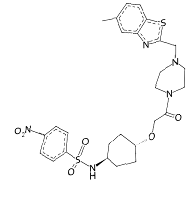 Cc1ccc2sc(CN3CCN(C(=O)CO[C@H]4CC[C@H](NS(=O)(=O)c5ccc([N+](=O)[O-])cc5)CC4)CC3)nc2c1